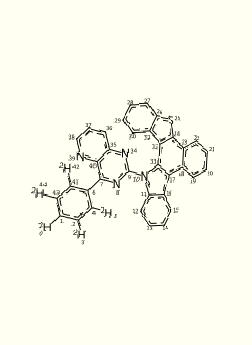 [2H]c1c([2H])c([2H])c(-c2nc(-n3c4ccccc4c4c5ccccc5c5sc6ccccc6c5c43)nc3cccnc23)c([2H])c1[2H]